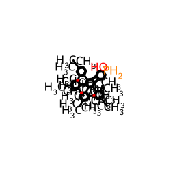 CC(C)(C)c1ccc(-c2c(-c3ccc(C(C)(C)C)cc3C(C)(C)C)c(-c3ccc(C(C)(C)C)cc3C(C)(C)C)c3c(c2-c2ccc(C(C)(C)C)cc2C(C)(C)C)=c2ccccc2=3)c(C(C)(C)C)c1.OP